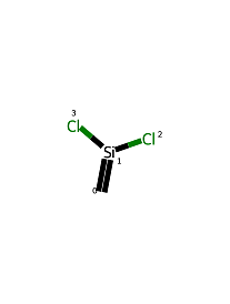 C=[Si](Cl)Cl